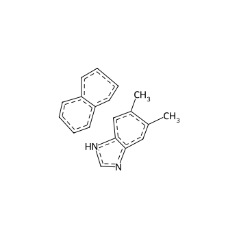 Cc1cc2nc[nH]c2cc1C.c1ccc2ccccc2c1